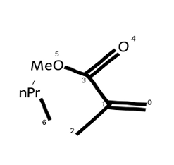 C=C(C)C(=O)OC.CCCC